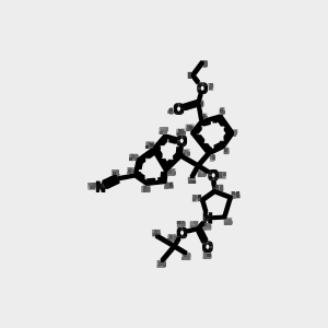 CCOC(=O)c1cccc(C(C)(O[C@H]2CCN(C(=O)OC(C)(C)C)C2)c2occ3cc(C#N)ccc23)c1